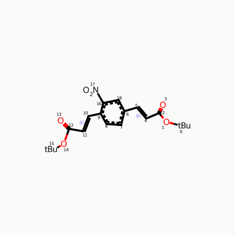 CC(C)(C)OC(=O)/C=C/c1ccc(/C=C/C(=O)OC(C)(C)C)c([N+](=O)[O-])c1